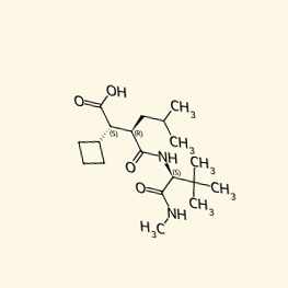 CNC(=O)[C@@H](NC(=O)[C@H](CC(C)C)[C@@H](C(=O)O)C1CCC1)C(C)(C)C